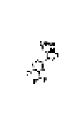 COCc1c(-c2ccc(O)c(C(F)F)n2)cnn1C